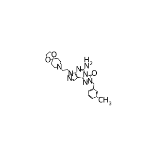 Cc1cccc(Cn2nc3c4cnn(CCN5CCC6(CC5)OCCO6)c4nc(N)n3c2=O)c1